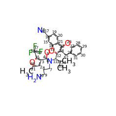 Cc1cc(C(=O)N(CCCN)C(c2oc3cc(C#N)ccc3c(=O)c2Cc2ccccc2)C(C)C)c(C(F)(F)F)o1